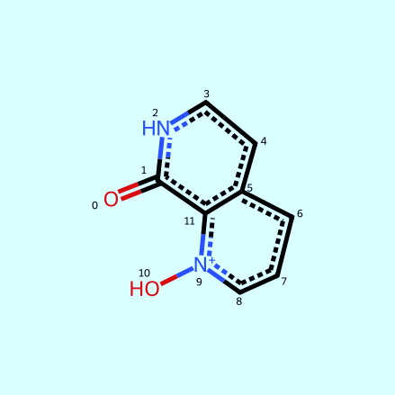 O=c1[nH]ccc2ccc[n+](O)c12